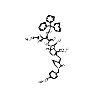 COc1ccc(CN2CC/C(=C\C3=C(C(=O)O)N4C(=O)[C@@H](NC(=O)/C(=N\OC(c5ccccc5)(c5ccccc5)c5ccccc5)c5csc(N)n5)[C@H]4SC3)C2=O)cc1